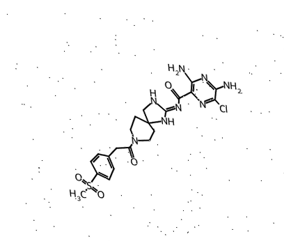 CS(=O)(=O)c1ccc(CC(=O)N2CCC3(CC2)CN/C(=N\C(=O)c2nc(Cl)c(N)nc2N)N3)cc1